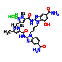 CCn1nc(C)cc1C(=O)Nc1nc2cc(C(N)=O)ccc2n1CC=CCn1c(NC(=O)c2cc(C)nn2CC)nc2cc(C(N)=O)cc(O)c21.Cl.Cl